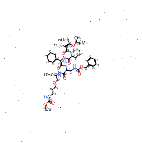 CCCCCC/C(O[C@@H](C)NC)=C(\C)C(=O)N(C)C(CC(C)C)C(=O)NC(C(=O)NC(CNC(=O)OCc1ccccc1)C(=O)NC(C=O)COCCCNC(=O)OC(C)(C)C)C1CCCCC1